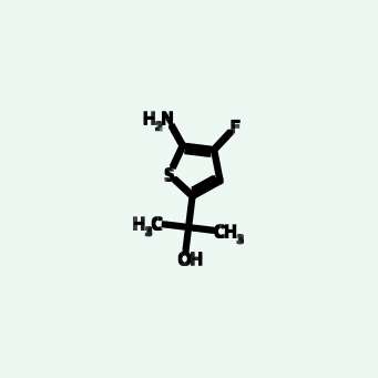 CC(C)(O)c1cc(F)c(N)s1